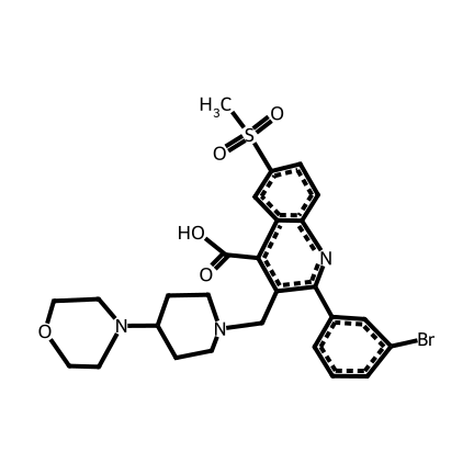 CS(=O)(=O)c1ccc2nc(-c3cccc(Br)c3)c(CN3CCC(N4CCOCC4)CC3)c(C(=O)O)c2c1